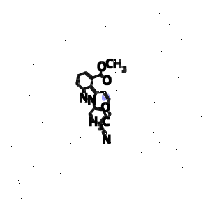 CCO/C=C\c1c2c(C(=O)OC)cccc2nn1-c1ccc(C#N)cc1